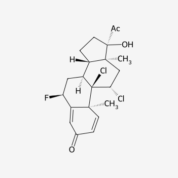 CC(=O)[C@@]1(O)CC[C@H]2[C@@H]3C[C@H](F)C4=CC(=O)C=C[C@]4(C)[C@@]3(Cl)[C@@H](Cl)C[C@@]21C